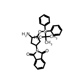 CC(C)(C)[Si](OC1CC(N2C(=O)c3ccccc3C2=O)CC1N)(c1ccccc1)c1ccccc1